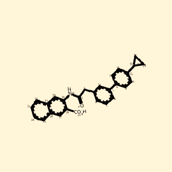 O=C(Cc1cccc(-c2ccc(C3CC3)cc2)c1)Nc1cc2ccccc2cc1C(=O)O